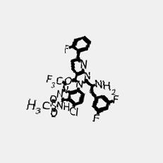 CS(=O)(=O)Nc1nn(CC(F)(F)F)c2c(-n3c(C(N)Cc4cc(F)cc(F)c4)nc4nc(-c5ccccc5F)ccc4c3=O)ccc(Cl)c12